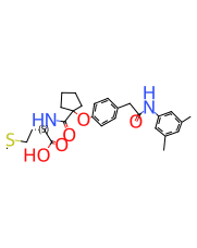 CSCC[C@H](NC(=O)C1(Oc2ccc(CC(=O)Nc3cc(C)cc(C)c3)cc2)CCCC1)C(=O)O